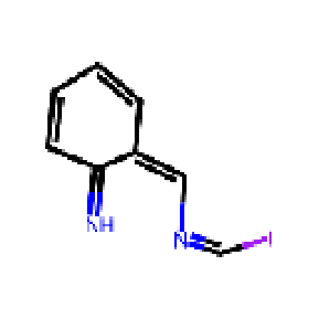 N=C1C=CC=C/C1=C/N=C\I